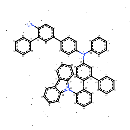 Nc1ccc(-c2ccc(N(c3ccccc3)c3ccc(-c4ccccc4-n4c5ccccc5c5ccccc54)c(-c4ccccc4)c3)cc2)cc1-c1ccccc1